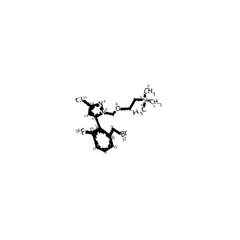 C[Si](C)(C)CCOCn1nc(Cl)cc1-c1c(F)cccc1CBr